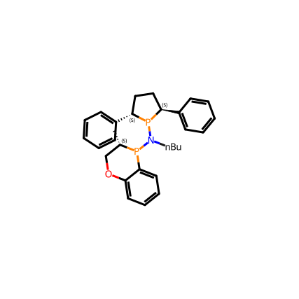 CCCCN(P1c2ccccc2OC[C@@H]1C)P1[C@H](c2ccccc2)CC[C@H]1c1ccccc1